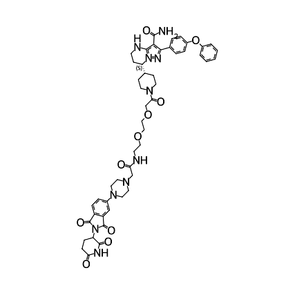 NC(=O)c1c(-c2ccc(Oc3ccccc3)cc2)nn2c1NCC[C@H]2C1CCN(C(=O)COCCOCCNC(=O)CN2CCN(c3ccc4c(c3)C(=O)N(C3CCC(=O)NC3=O)C4=O)CC2)CC1